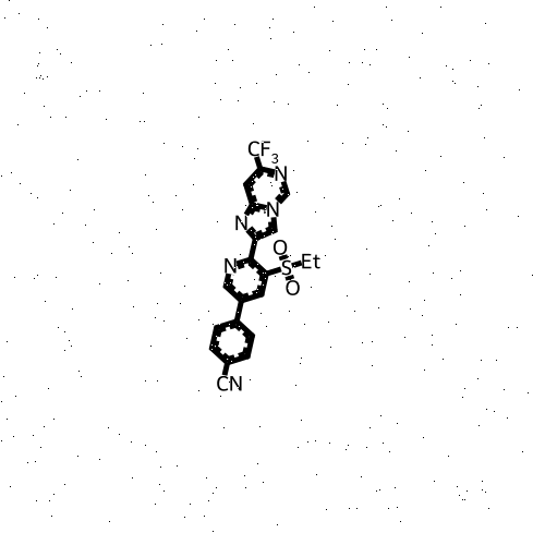 CCS(=O)(=O)c1cc(-c2ccc(C#N)cc2)cnc1-c1cn2cnc(C(F)(F)F)cc2n1